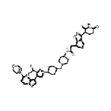 O=C1CCC(c2noc3c(CC(=O)NC4CCN(CC5CCC(n6cc(-c7cnn8ccc(N9CC%10CC9CO%10)nc78)c(C(F)F)n6)CC5)CC4)cccc23)C(=O)N1